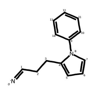 [N]=CCCc1cccn1-c1ccccc1